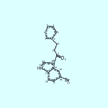 O=C(CCc1ccccc1)c1c[nH]c2ccc(Br)cc12